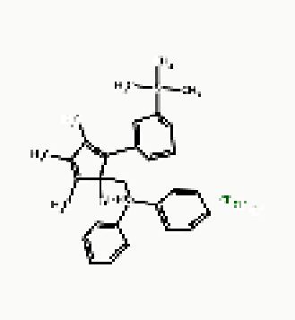 CC1=C(C)[C]([Ti+3])(C[SiH](c2ccccc2)c2ccccc2)C(c2cccc([Si](C)(C)C)c2)=C1C.[Cl-].[Cl-].[Cl-]